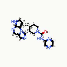 C[C@@H]1CCN(C(=O)Nc2cnccn2)C[C@@H]1c1ncc2cnc3[nH]ccc3n12